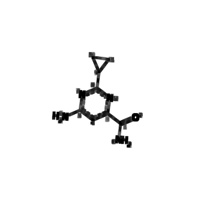 NC(=O)c1cc(N)nc(C2CC2)n1